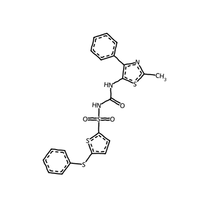 Cc1nc(-c2ccccc2)c(NC(=O)NS(=O)(=O)c2ccc(Sc3ccccc3)s2)s1